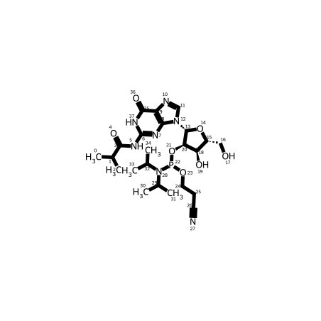 CC(C)C(=O)Nc1nc2c(ncn2[C@@H]2O[C@H](CO)[C@@H](O)[C@H]2OP(OCCC#N)N(C(C)C)C(C)C)c(=O)[nH]1